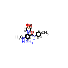 CNc1cc(N2CCS(=O)(=O)CC2)c(C(=O)N[C@H]2CC[C@H](C)CC2)cc1N